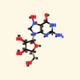 Nc1nc2c(c(=O)[nH]1)N(O)CN2[C@@H]1O[C@H](CO)[C@@H](O)[C@H]1O